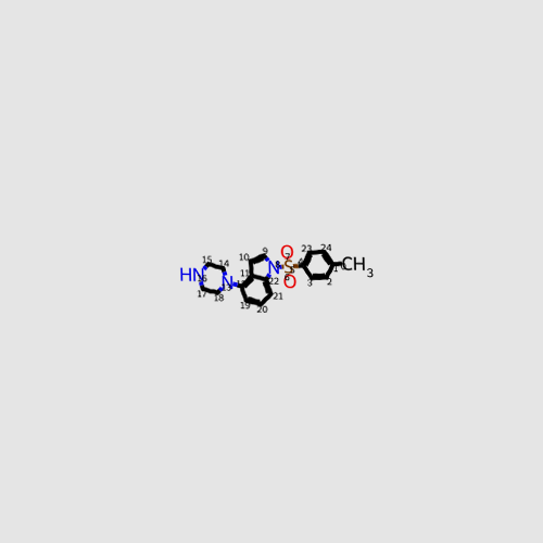 Cc1ccc(S(=O)(=O)n2ccc3c(N4CCNCC4)cccc32)cc1